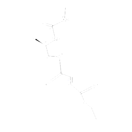 CCOC(=O)/C=C/C(=O)OC[C@@H](C)NC(=O)NC